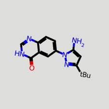 CC(C)(C)c1cc(N)n(-c2ccc3nc[nH]c(=O)c3c2)n1